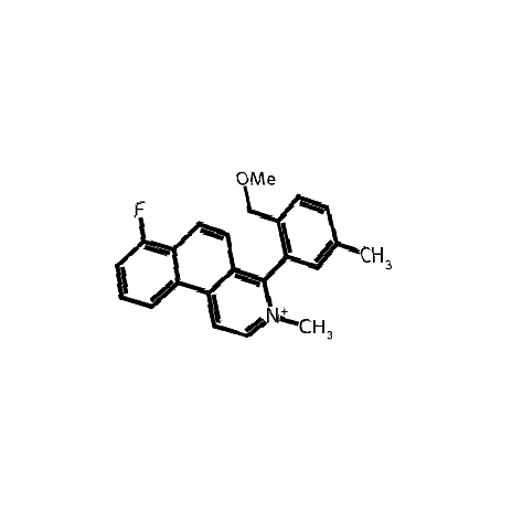 COCc1ccc(C)cc1-c1c2ccc3c(F)cccc3c2cc[n+]1C